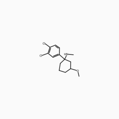 CNC1(c2ccc(Cl)c(Cl)c2)CCCC(OC)C1